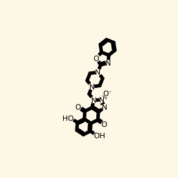 O=C1c2n[n+]([O-])n(CN3CCN(C4=NC5C=CC=CC5O4)CC3)c2C(=O)c2c(O)ccc(O)c21